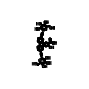 O=C(O)CCC1(CCO)c2cc(C#C[C@H]3O[C@H](CO)[C@@H](O)[C@H](O)[C@@H]3O)ccc2-c2ccc(C#C[C@H]3O[C@H](CO)[C@@H](O)[C@H](O)[C@@H]3O)cc21